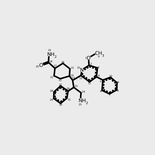 COc1cc(-c2ccccc2)cc(C(C2CCC(C(N)=O)CC2)C(CN)c2ccccc2)n1